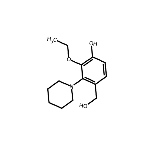 CCOc1c(O)ccc(CO)c1N1CCCCC1